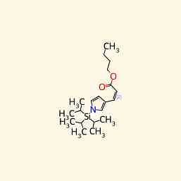 CCCCOC(=O)/C=C\c1ccn([Si](C(C)C)(C(C)C)C(C)C)c1